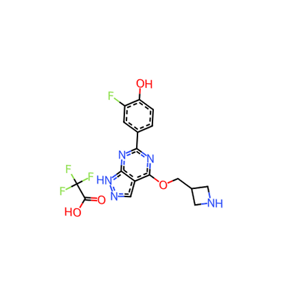 O=C(O)C(F)(F)F.Oc1ccc(-c2nc(OCC3CNC3)c3cn[nH]c3n2)cc1F